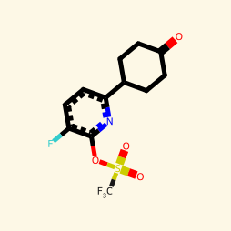 O=C1CCC(c2ccc(F)c(OS(=O)(=O)C(F)(F)F)n2)CC1